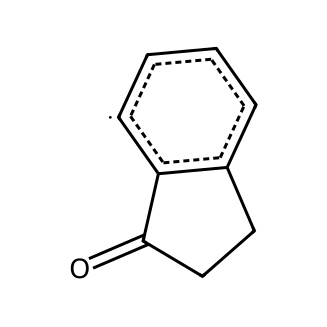 O=C1CCc2ccc[c]c21